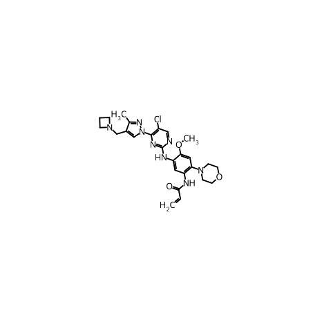 C=CC(=O)Nc1cc(Nc2ncc(Cl)c(-n3cc(CN4CCC4)c(C)n3)n2)c(OC)cc1N1CCOCC1